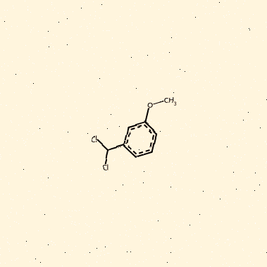 COc1cccc(C(Cl)Cl)c1